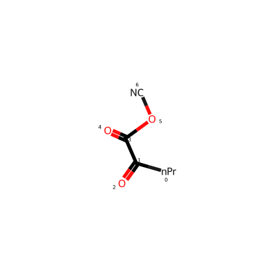 CCCC(=O)C(=O)OC#N